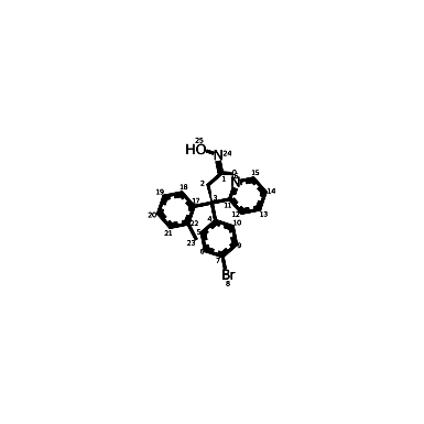 C/C(C[C@](c1ccc(Br)cc1)(c1ccccn1)c1ccccc1C)=N/O